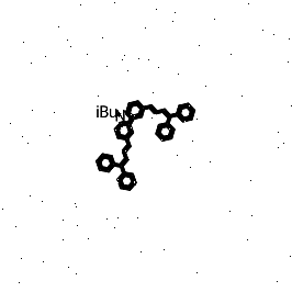 CCC(C)n1c2ccc(C=CC=C(c3ccccc3)c3ccccc3)cc2c2cc(C=CC=C(c3ccccc3)c3ccccc3)ccc21